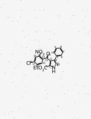 CCOC(=O)c1[nH]nc(-c2ccccc2)c1C(=O)c1ccc(Cl)cc1[N+](=O)[O-]